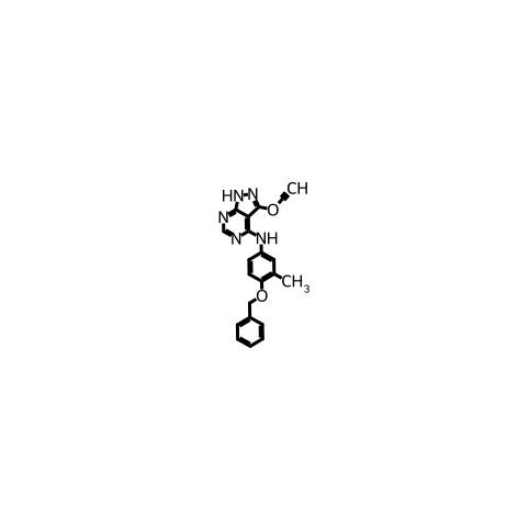 C#COc1n[nH]c2ncnc(Nc3ccc(OCc4ccccc4)c(C)c3)c12